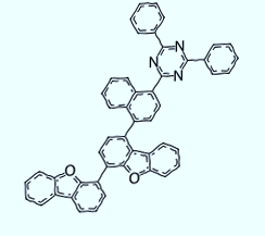 c1ccc(-c2nc(-c3ccccc3)nc(-c3ccc(-c4ccc(-c5cccc6c5oc5ccccc56)c5oc6ccccc6c45)c4ccccc34)n2)cc1